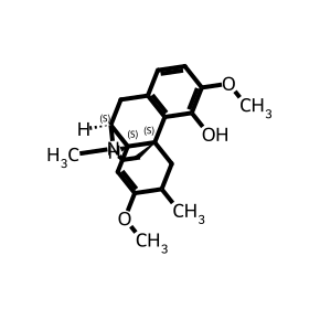 COC1=C[C@@H]2[C@@H]3Cc4ccc(OC)c(O)c4[C@]2(CCN3C)CC1C